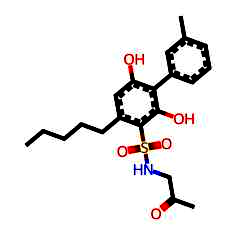 CCCCCc1cc(O)c(-c2cccc(C)c2)c(O)c1S(=O)(=O)NCC(C)=O